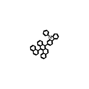 c1ccc(-n2c3ccccc3c3ccc(-c4c5ccccc5c(-c5cccc6ccccc56)c5c4ccc4ccccc45)cc32)cc1